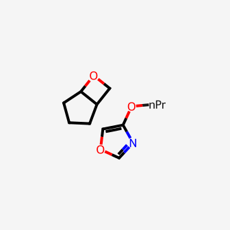 C1CC2COC2C1.CCCOc1cocn1